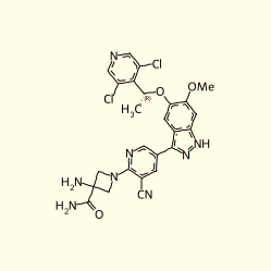 COc1cc2[nH]nc(-c3cnc(N4CC(N)(C(N)=O)C4)c(C#N)c3)c2cc1O[C@H](C)c1c(Cl)cncc1Cl